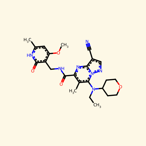 CCN(c1c(C)c(C(=O)NCc2c(OC)cc(C)[nH]c2=O)nc2c(C#N)cnn12)C1CCOCC1